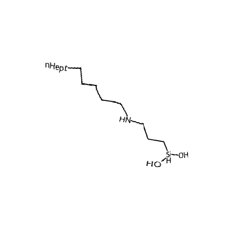 CCCCCCCCCCCCNCCC[SiH](O)O